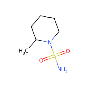 CC1CCCCN1S(N)(=O)=O